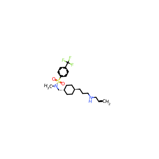 C=CCNCCC[C@H]1CC[C@H](CN(C)S(=O)(=O)c2ccc(C(F)(F)F)cc2)CC1